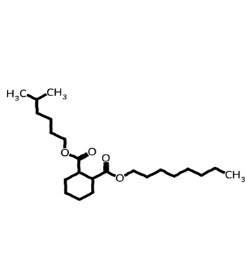 CCCCCCCCOC(=O)C1CCCCC1C(=O)OCCCCC(C)C